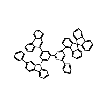 c1ccc(-c2ccc3c4ccccc4n(-c4cc(-c5nc(-c6ccccc6)cc(-c6cccc7c6-c6ccccc6C76c7ccccc7-c7ccccc76)n5)cc(-c5cc6ccccc6c6ccccc56)c4)c3c2)cc1